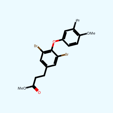 COC(=O)CCc1cc(Br)c(Oc2ccc(OC)c(C(C)C)c2)c(Br)c1